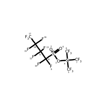 O=S(=O)(O[Si](C(F)(F)F)(C(F)(F)F)C(F)(F)F)C(F)(F)C(F)(F)C(F)(F)C(F)(F)F